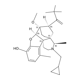 C=C([C@H]1C[C@@]23CC[C@@]1(OC)[C@@H]1Oc4c(O)ccc(C)c4[C@@]12CCN(CC1CC1)[C@@H]3C)C(C)(C)C